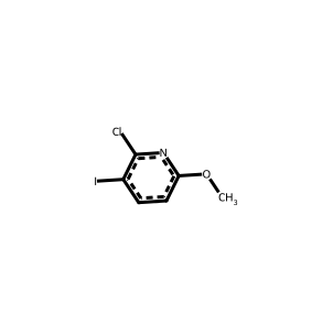 COc1ccc(I)c(Cl)n1